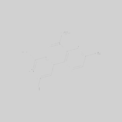 COC(=O)c1cc(C#N)ccc1-c1cc(C)nc(Cl)c1